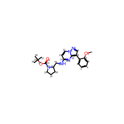 COc1ccccc1-c1cnn2ccc(NCC3CCCN3C(=O)OC(C)(C)C)nc12